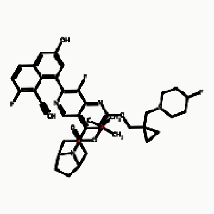 C#Cc1c(F)ccc2cc(O)cc(-c3ncc4c(N5CC6CCC(C5)N6C(=O)OC(C)(C)C)nc(OCC5(CN6CCC(F)CC6)CC5)nc4c3F)c12